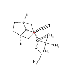 CCOC(=O)C1(C#N)C[C@H]2CC[C@@H](C1)N2C(=O)OC(C)(C)C